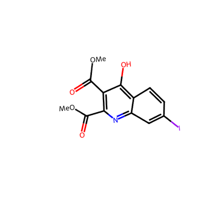 COC(=O)c1nc2cc(I)ccc2c(O)c1C(=O)OC